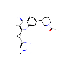 CN(N)/C=C(\N)C1CC1/C(Nc1cccc(C2CCCN(C(=O)C(C)(C)C)C2)c1)=C(/C=N)C(=O)O